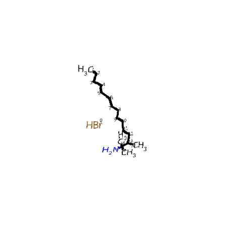 Br.CCCCCCCCCCCCC(C)C(C)(C)N